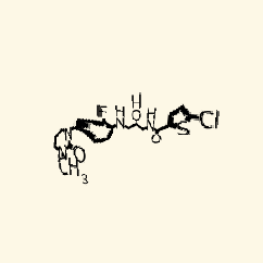 CN1CCCN(c2ccc(NC[C@H](O)CNC(=O)c3ccc(Cl)s3)c(F)c2)C1=O